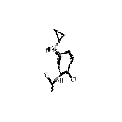 CC(=O)Nc1cc(NC2CC2)ccc1Cl